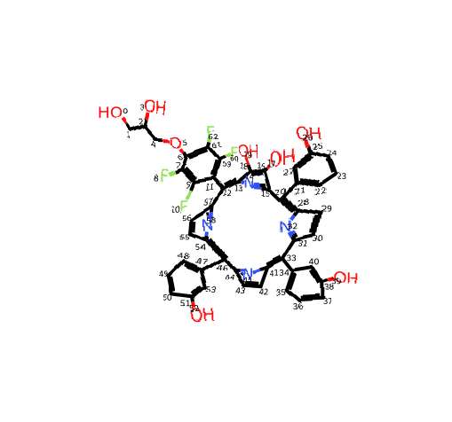 OCC(O)COc1c(F)c(F)c(C2=C3N=C(C(O)=C3O)C(c3cccc(O)c3)=C3C=CC(=N3)C(c3cccc(O)c3)=C3C=CC(=N3)C(c3cccc(O)c3)=C3C=CC2=N3)c(F)c1F